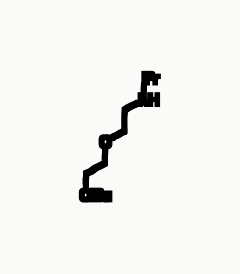 CC(C)COCCOCCNC(C)C